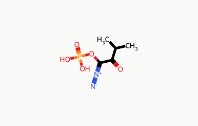 CC(C)C(=O)C(=[N+]=[N-])OP(=O)(O)O